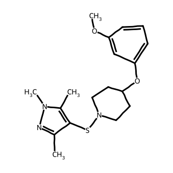 COc1cccc(OC2CCN(Sc3c(C)nn(C)c3C)CC2)c1